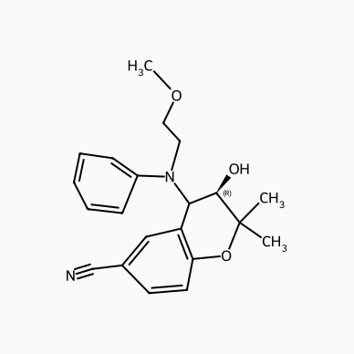 COCCN(c1ccccc1)C1c2cc(C#N)ccc2OC(C)(C)[C@@H]1O